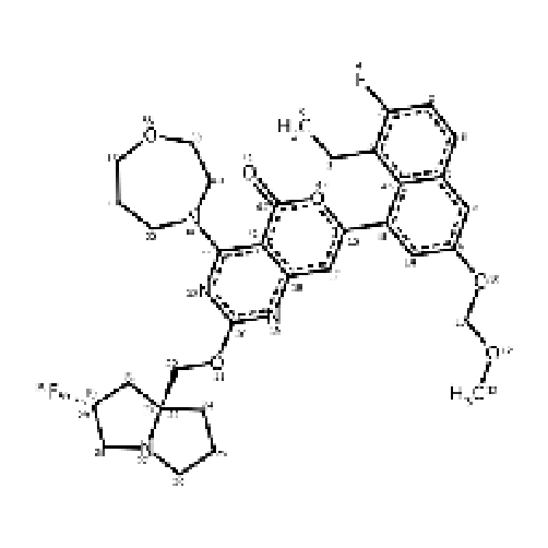 CCc1c(F)ccc2cc(OCOC)cc(-c3cc4nc(OC[C@@]56CCCN5C[C@H](F)C6)nc(N5CCCOCC5)c4c(=O)o3)c12